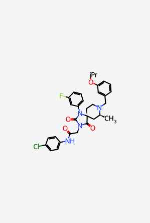 CC(C)Oc1cccc(CN2CC[C@@]3(C[C@@H]2C)C(=O)N(CC(=O)Nc2ccc(Cl)cc2)C(=O)N3c2cccc(F)c2)c1